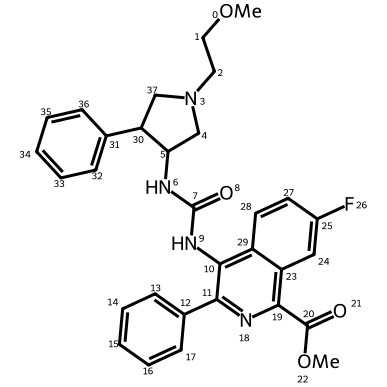 COCCN1CC(NC(=O)Nc2c(-c3ccccc3)nc(C(=O)OC)c3cc(F)ccc23)C(c2ccccc2)C1